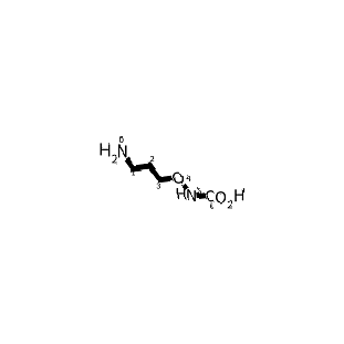 NCCCONC(=O)O